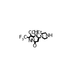 CCOC(=O)c1c(C(F)(F)F)nn2c(=O)cc(N3CCNCC3)[nH]c12